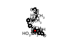 C[C@H](NC(=O)CN1C(=O)C=CC1=O)C(=O)N[C@@H](C)C(=O)Nc1cccc(Cc2ccc([C@@H]3O[C@@H]4C[C@H]5[C@@H]6CCC7=CC(=O)C=C[C@]7(C)[C@H]6[C@@H](O)C[C@]5(C)[C@]4(C(=O)COS(=O)(=O)O)O3)cc2)c1